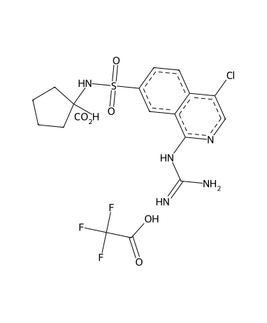 N=C(N)Nc1ncc(Cl)c2ccc(S(=O)(=O)NC3(C(=O)O)CCCC3)cc12.O=C(O)C(F)(F)F